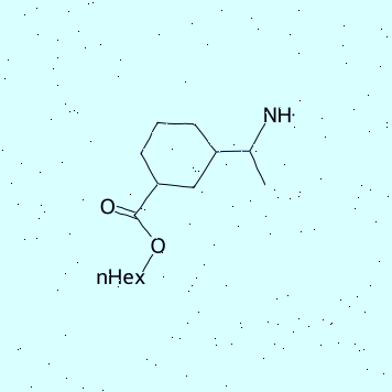 CCCCCCOC(=O)C1CCCC(C(C)[NH])C1